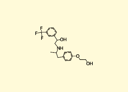 CC(Cc1ccc(OCCO)cc1)NCC(O)c1cccc(C(F)(F)F)c1